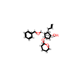 C=CC[C@@H]1[C@@H](COCc2ccccc2)[C@H](OC2CCCCO2)C[C@H]1O